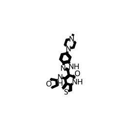 CN1CCN(c2ccc3nc(-c4c(N[C@@H]5CCOC5)c5cscc5[nH]c4=O)[nH]c3c2)CC1